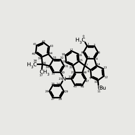 Cc1ccc2c(c1)C1(c3cc(C(C)(C)C)ccc3-2)c2ccccc2-c2c(N(c3ccccc3)c3ccc4c(c3)C(C)(C)c3ccccc3-4)cccc21